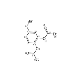 CCC(=O)Oc1ccc(CBr)cc1OC(=O)CC